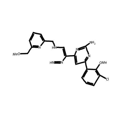 COCc1cccc(CN/C=C(\N=N)c2cc(-c3cccc(Cl)c3OC)nc(N)n2)n1